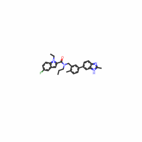 CCCN(Cc1cc(-c2ccc3nc(C)[nH]c3c2)ccc1C)C(=O)c1cc2cc(F)ccc2n1CC